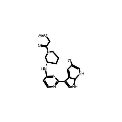 COCC(=O)N1CCC[C@H](Nc2ccnc(C3=CNC4NC=C(Cl)C=C34)n2)C1